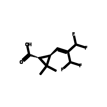 CC1(C)[C@H](C=C(C(F)F)C(F)F)[C@H]1C(=O)O